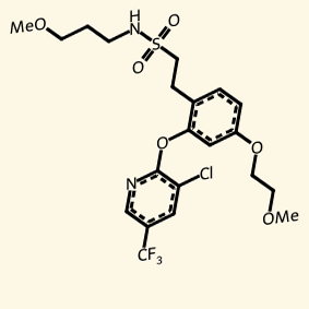 COCCCNS(=O)(=O)CCc1ccc(OCCOC)cc1Oc1ncc(C(F)(F)F)cc1Cl